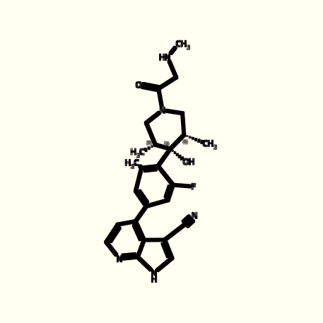 CNCC(=O)N1C[C@@H](C)[C@](O)(c2c(C)cc(-c3ccnc4[nH]cc(C#N)c34)cc2F)[C@@H](C)C1